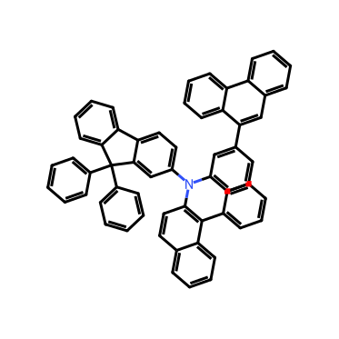 c1ccc(-c2c(N(c3cccc(-c4cc5ccccc5c5ccccc45)c3)c3ccc4c(c3)C(c3ccccc3)(c3ccccc3)c3ccccc3-4)ccc3ccccc23)cc1